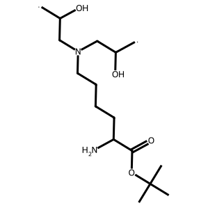 [CH2]C(O)CN(CCCCC(N)C(=O)OC(C)(C)C)CC([CH2])O